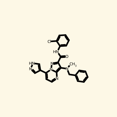 CN(Cc1ccccc1)c1c(C(=O)Nc2ccccc2Cl)nn2c(-c3cn[nH]c3)ccnc12